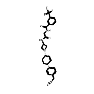 [C-]#[N+]Cc1ccc([C@H]2CC[C@@H](N3CC(NC(=O)CNC(=O)c4cccc(C(F)(F)F)c4)C3)CC2)cc1